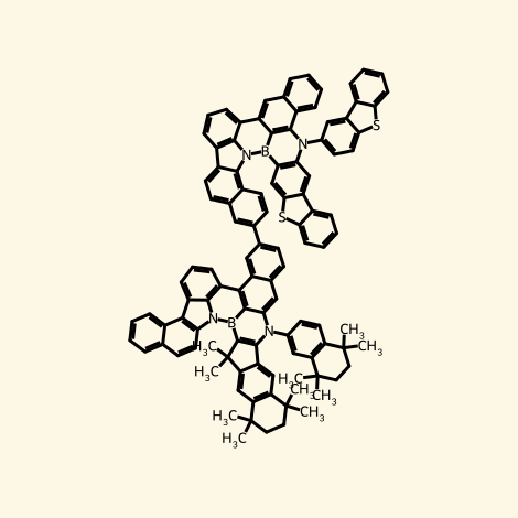 CC1(C)CCC(C)(C)c2cc(N3C4=C(B5c6c3cc3ccc(-c7ccc8c(ccc9c%10cccc%11c%10n(c89)B8c9cc%10sc%12ccccc%12c%10cc9N(c9ccc%10sc%12ccccc%12c%10c9)c9c8c-%11cc8ccccc98)c7)cc3c6-c3cccc6c7c8ccccc8ccc7n5c36)C(C)(C)c3cc5c(cc34)C(C)(C)CCC5(C)C)ccc21